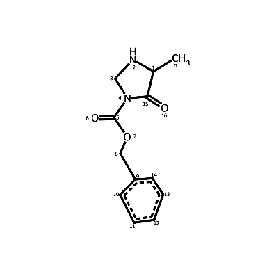 CC1NCN(C(=O)OCc2ccccc2)C1=O